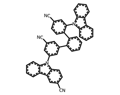 N#Cc1cc(-c2ccccc2-c2ccc(C#N)cc2-n2c3ccccc3c3ccccc32)cc(-n2c3ccccc3c3cc(C#N)ccc32)c1